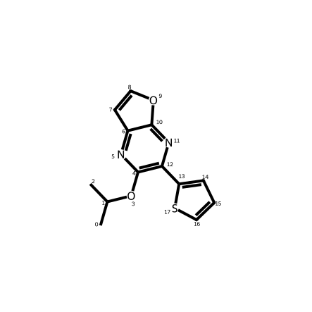 CC(C)Oc1nc2ccoc2nc1-c1cccs1